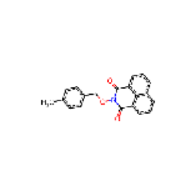 Cc1ccc(CON2C(=O)c3cccc4cccc(c34)C2=O)cc1